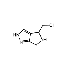 OCC1NCc2n[nH]cc21